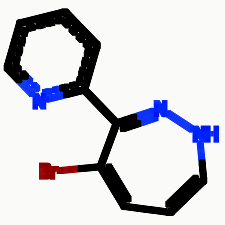 BrC1=CC=CNN=C1c1ccccn1